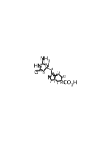 Nc1nc(Cn2ncc3cc(C(=O)O)ccc32)cc(=O)[nH]1